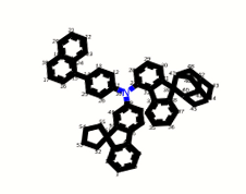 c1ccc2c(c1)-c1ccc(N(c3ccc(-c4cccc5ccccc45)cc3)c3cccc4c3-c3ccccc3C43C4CC5CC(C4)CC3C5)cc1C21CCCC1